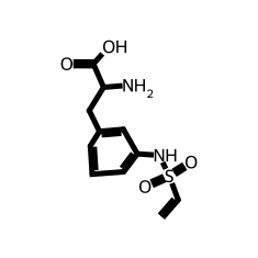 C=CS(=O)(=O)Nc1cccc(CC(N)C(=O)O)c1